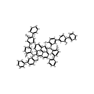 Fc1cc(-c2ccc(F)c(N(c3cc(-c4ccccc4)ccc3F)c3cc4cccc5c(N(c6cc(-c7ccccc7)ccc6F)c6cc(-c7ccc(-c8ccccc8)c(F)c7)ccc6F)cc6cccc3c6c45)c2)ccc1-c1ccccc1